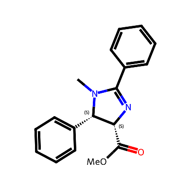 COC(=O)[C@H]1N=C(c2ccccc2)N(C)[C@H]1c1ccccc1